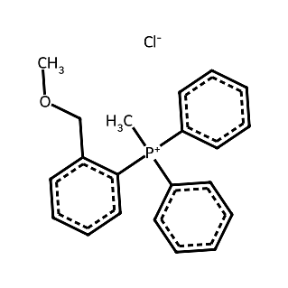 COCc1ccccc1[P+](C)(c1ccccc1)c1ccccc1.[Cl-]